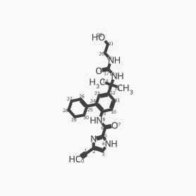 C#Cc1c[nH]c(C(=O)Nc2ccc(C(C)(C)NC(=O)NCCO)cc2C2=CCCCC2)n1